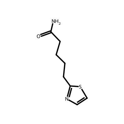 NC(=O)CCCCc1nccs1